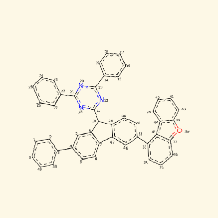 c1ccc(-c2ccc3c(c2)C(c2nc(-c4ccccc4)nc(-c4ccccc4)n2)c2ccc(-c4cccc5oc6ccccc6c45)cc2-3)cc1